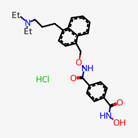 CCN(CC)CCCc1ccc(CONC(=O)c2ccc(C(=O)NO)cc2)c2ccccc12.Cl